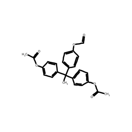 CC(=O)Oc1ccc(C(C)(c2ccc(OC=O)cc2)c2ccc(OC(C)=O)cc2)cc1